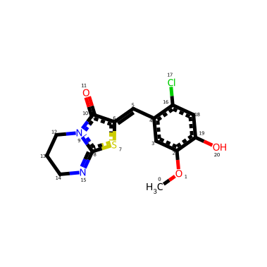 COc1cc(/C=c2\sc3n(c2=O)CCCN=3)c(Cl)cc1O